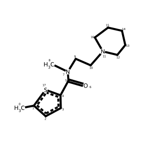 Cc1ccc(C(=O)N(C)CCN2CCCCC2)s1